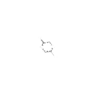 CC(C)c1c[nH]c(=O)cn1